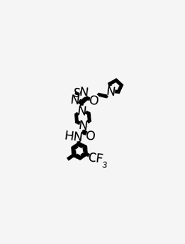 Cc1cc(NC(=O)N2CCN(c3nsnc3OCCN3CCCC3)CC2)cc(C(F)(F)F)c1